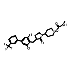 CNC(=O)ON1CCC(N2CCC(Cc3c(Cl)cc(-c4cccc(C(F)(F)F)c4)cc3Cl)C2=O)CC1